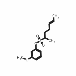 CC=CCCC(C)S(=O)(=O)Oc1cccc(OC)c1